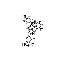 C=C(NC(CO)CO)c1cc(C)c(C(c2cc(F)ccc2F)S(=O)(=O)c2ccc(F)cc2)cn1